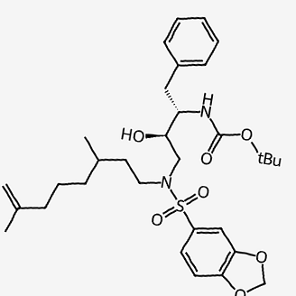 C=C(C)CCCC(C)CCN(C[C@@H](O)[C@H](Cc1ccccc1)NC(=O)OC(C)(C)C)S(=O)(=O)c1ccc2c(c1)OCO2